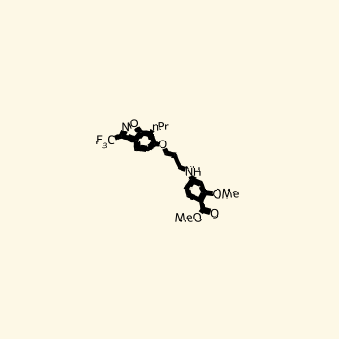 CCCc1c(OCCCNc2ccc(C(=O)OC)c(OC)c2)ccc2c(C(F)(F)F)noc12